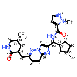 CCn1nccc1C(=O)N[C@H](c1cn2nc(CC3C[C@@H](C(F)(F)F)CNC3=O)ccc2n1)[C@H]1CC[C@H](C)C1